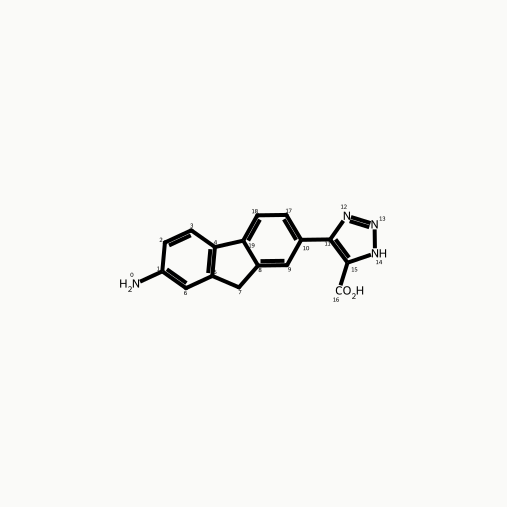 Nc1ccc2c(c1)Cc1cc(-c3nn[nH]c3C(=O)O)ccc1-2